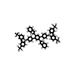 CC(C)(C)c1ccc2c(c1)c1cc(C(C)(C)C)ccc1n2-c1ccc(-c2cc(-c3cc4ccccc4o3)c(-c3ccc(-n4c5ccc(C(C)(C)C)cc5c5cc(C(C)(C)C)ccc54)cc3)cc2-c2cc3ccccc3o2)cc1